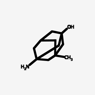 CC12CC3CC(N)(C1)CC(O)(C3)C2